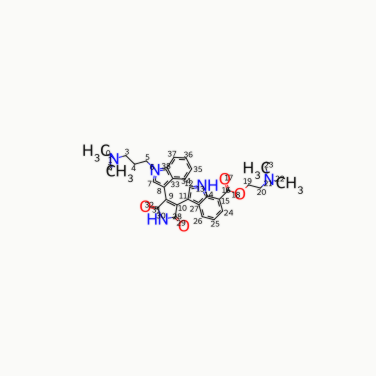 CN(C)CCCn1cc(C2=C(c3c[nH]c4c(C(=O)OCCN(C)C)cccc34)C(=O)NC2=O)c2ccccc21